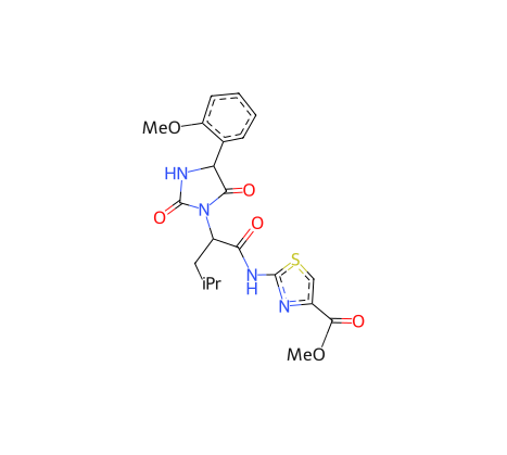 COC(=O)c1csc(NC(=O)C(CC(C)C)N2C(=O)NC(c3ccccc3OC)C2=O)n1